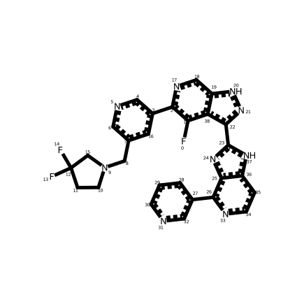 Fc1c(-c2cncc(CN3CCC(F)(F)C3)c2)ncc2[nH]nc(-c3nc4c(-c5cccnc5)nccc4[nH]3)c12